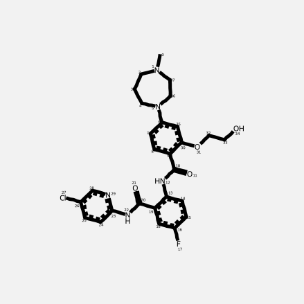 CN1CCCN(c2ccc(C(=O)Nc3ccc(F)cc3C(=O)Nc3ccc(Cl)cn3)c(OCCO)c2)CC1